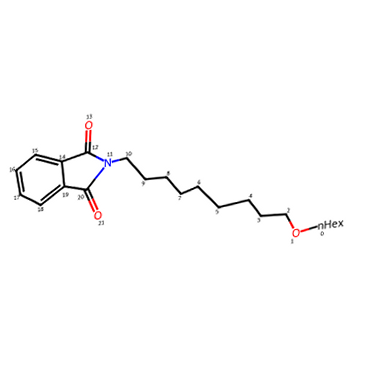 CCCCCCOCCCCCCCCCN1C(=O)c2ccccc2C1=O